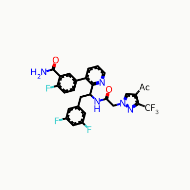 CC(=O)c1cn(CC(=O)NC(Cc2cc(F)cc(F)c2)c2ncccc2-c2ccc(F)c(C(N)=O)c2)nc1C(F)(F)F